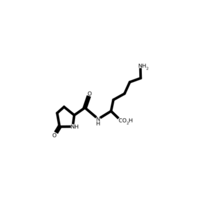 NCCCCC(NC(=O)C1CCC(=O)N1)C(=O)O